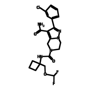 NC(=O)c1c(-c2cccc(Cl)c2)nn2c1CN(C(=O)NC1(COC(F)F)CCC1)CC2